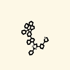 c1ccc(-c2nc(-c3cccc(-c4cccnc4)c3)cc(-c3ccc(-c4ccc5c(c4)-c4ccc6ccccc6c4C5(c4ccccc4)c4ccccc4)c4ccccc34)n2)cc1